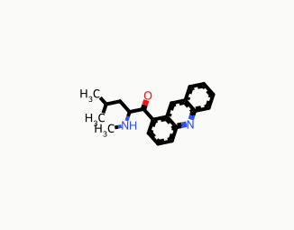 CNC(CC(C)C)C(=O)c1cccc2nc3ccccc3cc12